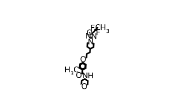 Cc1cc(OCCCC2CCN(c3noc(C(C)(F)F)n3)CC2)ccc1C(=O)NC1CCOCC1